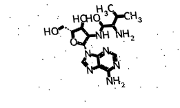 CC(C)C(N)C(O)NC1C(O)[C@@H](CO)O[C@H]1n1cnc2c(N)ncnc21